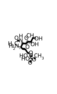 COS(=O)(=O)O.CO[C@@H]([C@@H]1OC(C(=O)O)=C[C@H](N)[C@H]1NC(C)=O)[C@H](O)CO